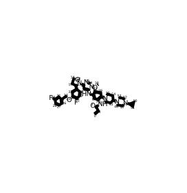 C=CC(=O)Nc1cc(Nc2cc(N3OCCC3c3ccc(F)c(OCc4cccc(F)c4)c3)ncn2)c(OC)cc1N1CCC(N2CCN(C3CC3)CC2)CC1